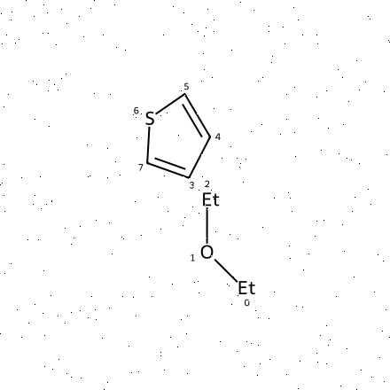 CCOCC.c1ccsc1